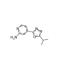 CC(C)c1nnc(-c2ccnc(N)c2)o1